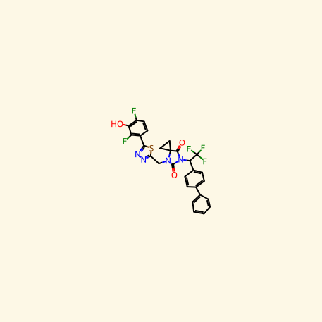 O=C1N(C(c2ccc(-c3ccccc3)cc2)C(F)(F)F)C(=O)C2(CC2)N1Cc1nnc(-c2ccc(F)c(O)c2F)s1